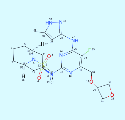 CCS(=O)(=O)N1[C@@H]2CCC[C@H]1C[C@@H](N(C)c1nc(COC3COC3)c(F)c(Nc3cc(C)[nH]n3)n1)C2